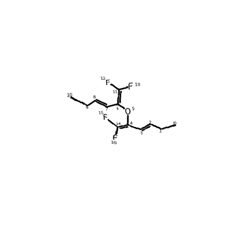 CCC=CC(OC(C=CCC)=C(F)F)=C(F)F